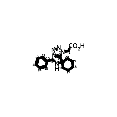 O=C(O)Cn1nnnc1C1(NCc2ccccc2)CCCCC1